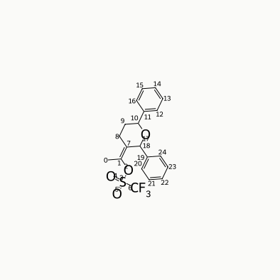 CC(OS(=O)(=O)C(F)(F)F)=C1CCC(c2ccccc2)OC1c1ccccc1